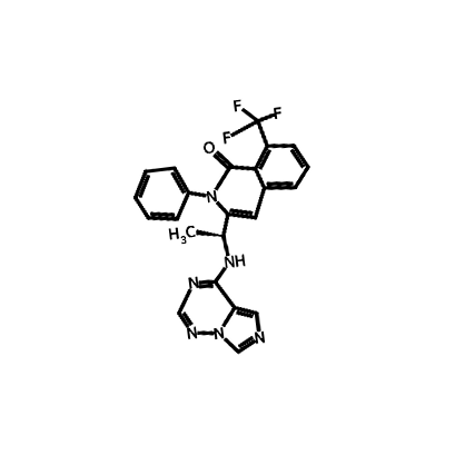 C[C@H](Nc1ncnn2cncc12)c1cc2cccc(C(F)(F)F)c2c(=O)n1-c1ccccc1